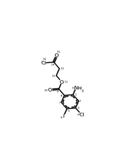 Nc1cc(Cl)c(I)cc1C(=O)OCCC(=O)Cl